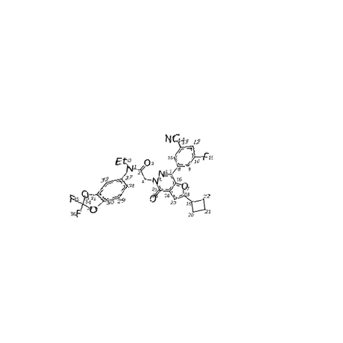 CCN(C(=O)Cn1nc(-c2cc(F)cc(C#N)c2)c2oc(C3CCC3)cc2c1=O)c1ccc2c(c1)OC(F)(F)O2